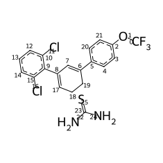 FC(F)(F)Oc1ccc(C2=CC(c3c(Cl)cccc3Cl)=CCC2)cc1.NC(N)=S